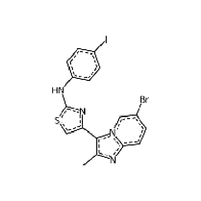 Cc1nc2ccc(Br)cn2c1-c1csc(Nc2ccc(I)cc2)n1